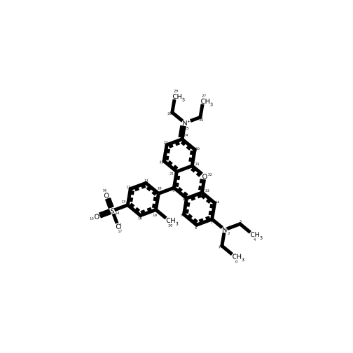 CCN(CC)c1ccc2c(-c3ccc(S(=O)(=O)Cl)cc3C)c3ccc(=[N+](CC)CC)cc-3oc2c1